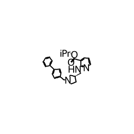 CC(C)OC(=O)c1cccnc1NC[C@H]1CCN(Cc2ccc(-c3ccccc3)cc2)C1